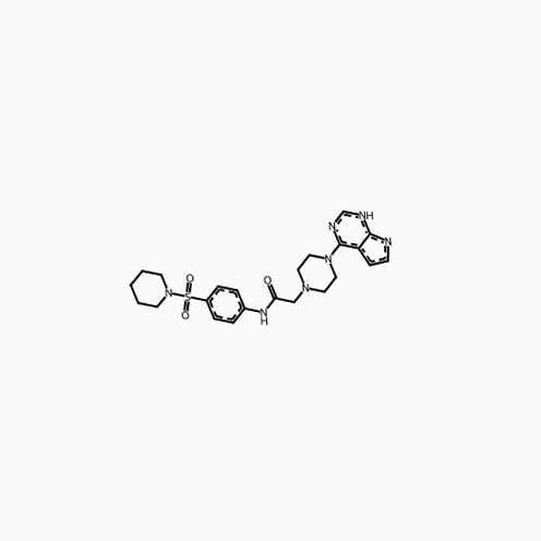 O=C(CN1CCN(c2nc[nH]c3nccc2-3)CC1)Nc1ccc(S(=O)(=O)N2CCCCC2)cc1